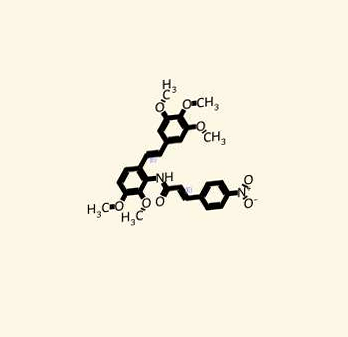 COc1cc(/C=C/c2ccc(OC)c(OC)c2NC(=O)/C=C/c2ccc([N+](=O)[O-])cc2)cc(OC)c1OC